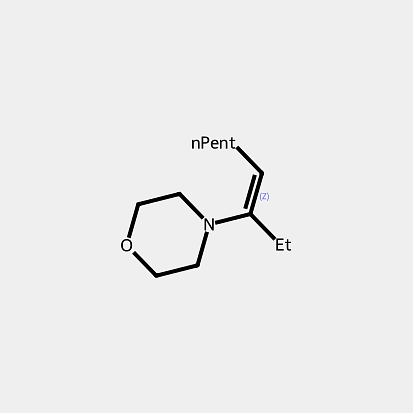 CCCCC/C=C(/CC)N1CCOCC1